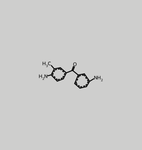 Cc1cc(C(=O)c2cccc(N)c2)ccc1N